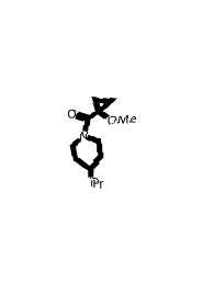 COC1(C(=O)N2CCC(C(C)C)CC2)CC1